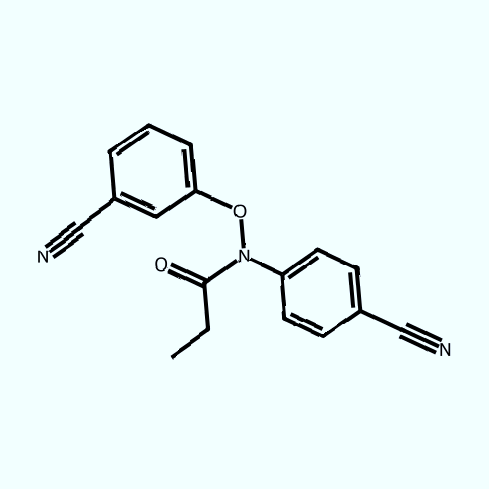 CCC(=O)N(Oc1cccc(C#N)c1)c1ccc(C#N)cc1